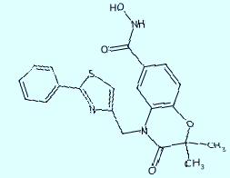 CC1(C)Oc2ccc(C(=O)NO)cc2N(Cc2csc(-c3ccccc3)n2)C1=O